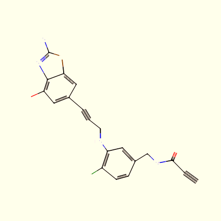 C#CC(=O)NCc1ccc(Cl)c(NCC#Cc2cc(O)c3nc(N)sc3c2)c1